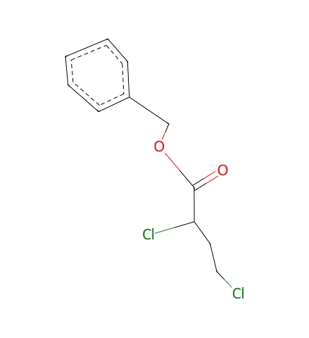 O=C(OCc1ccccc1)C(Cl)CCCl